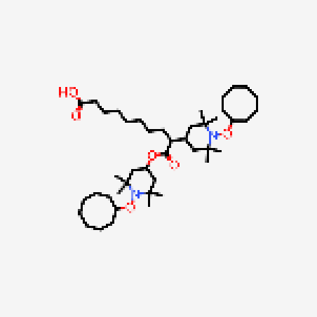 CC1(C)CC(OC(=O)C(CCCCCCCC(=O)O)C2CC(C)(C)N(OC3CCCCCCC3)C(C)(C)C2)CC(C)(C)N1OC1CCCCCCC1